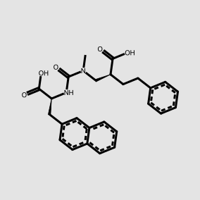 CN(C[C@H](CCc1ccccc1)C(=O)O)C(=O)N[C@@H](Cc1ccc2ccccc2c1)C(=O)O